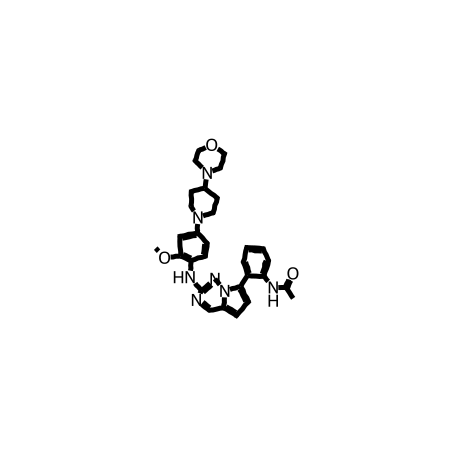 COc1cc(N2CCC(N3CCOCC3)CC2)ccc1Nc1ncc2ccc(-c3ccccc3NC(C)=O)n2n1